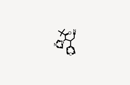 CC(C)(C)C(=O)C(C(CC#N)c1ccccc1)n1ccnc1